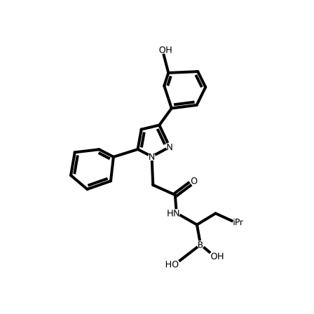 CC(C)CC(NC(=O)Cn1nc(-c2cccc(O)c2)cc1-c1ccccc1)B(O)O